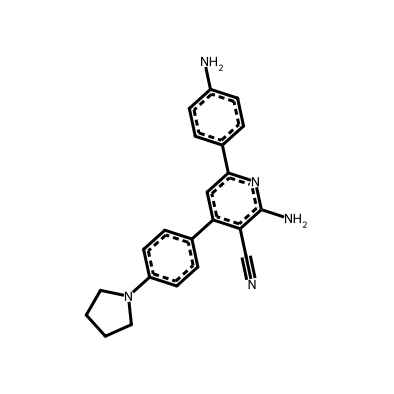 N#Cc1c(-c2ccc(N3CCCC3)cc2)cc(-c2ccc(N)cc2)nc1N